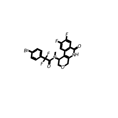 CN(C(=O)C(F)(F)c1ccc(Br)cc1)C1COCc2[nH]c(=O)c3cc(F)c(F)cc3c21